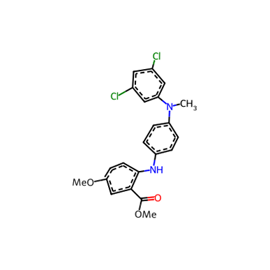 COC(=O)c1cc(OC)ccc1Nc1ccc(N(C)c2cc(Cl)cc(Cl)c2)cc1